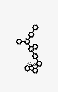 CC1(C)c2ccccc2-c2cccc(-c3cccc(-c4ccc(-c5ccc(-c6cc(-c7ccc(-c8ccccc8)cc7)nc(-c7ccccc7)n6)c6ccccc56)cc4)c3)c21